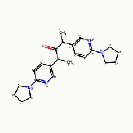 CC(C(=O)C(C)c1ccc(N2CCCC2)nc1)c1ccc(N2CCCC2)nc1